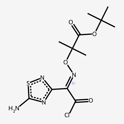 CC(C)(C)OC(=O)C(C)(C)O/N=C(/C(=O)Cl)c1nsc(N)n1